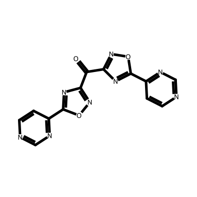 O=C(c1noc(-c2ccncn2)n1)c1noc(-c2ccncn2)n1